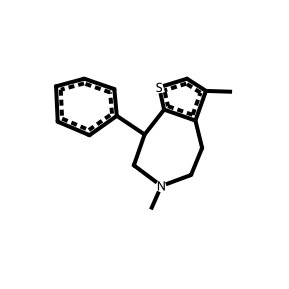 Cc1csc2c1CCN(C)CC2c1ccccc1